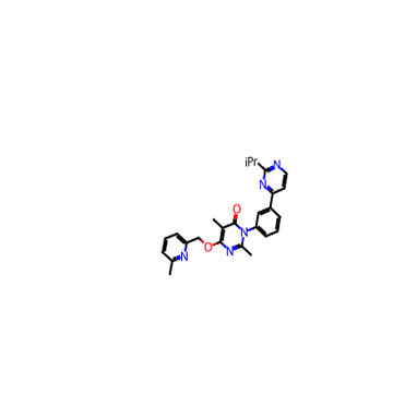 Cc1cccc(COc2nc(C)n(-c3cccc(-c4ccnc(C(C)C)n4)c3)c(=O)c2C)n1